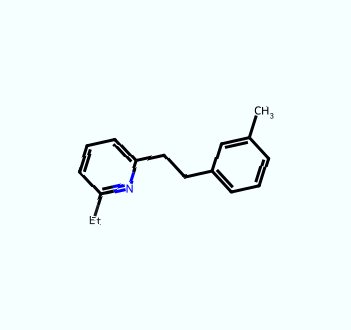 CCc1cccc(CCc2cccc(C)c2)n1